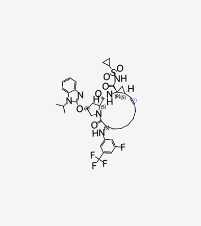 CC(C)n1c(O[C@@H]2C[C@H]3C(=O)N[C@]4(C(=O)NS(=O)(=O)C5CC5)C[C@H]4/C=C\CCCCC[C@H](Nc4cc(F)cc(C(F)(F)F)c4)C(=O)N3C2)nc2ccccc21